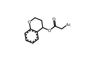 CC(=O)CC(=O)OC1CCOc2ccccc21